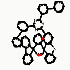 c1ccc(-c2cccc(-c3nc(-c4cccc(-c5ccccc5)c4)nc(-c4ccc5c(c4)C4(c6ccccc6S5)c5ccccc5C5(c6ccccc6-c6ccccc65)c5ccccc54)n3)c2)cc1